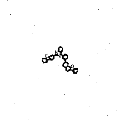 c1cc(-c2ccc3ccc4c5ccccc5oc4c3c2)cc(-c2nc(-c3ccc4c(c3)oc3ccccc34)nc3ccccc23)c1